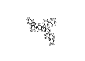 c1ccc(-c2cccc(N(c3ccc(-c4cccc5c4oc4ccccc45)cc3)c3ccc4c(ccc5c6ccccc6ccc45)c3)c2)cc1